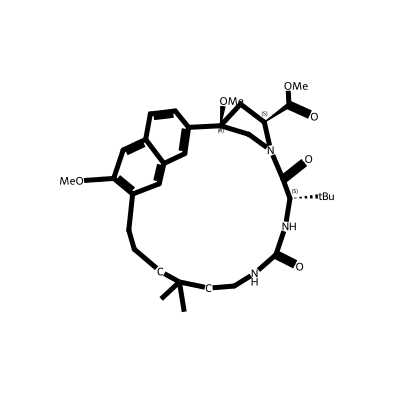 COC(=O)[C@@H]1C[C@]2(OC)CN1C(=O)[C@H](C(C)(C)C)NC(=O)NCCC(C)(C)CCCc1cc3cc2ccc3cc1OC